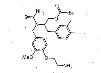 COc1cc(CN(C(N)=S)C(COC(=O)C(C)(C)C)Cc2ccc(C)c(C)c2)ccc1OCCN